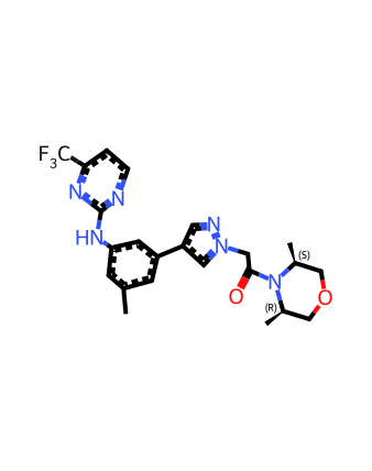 Cc1cc(Nc2nccc(C(F)(F)F)n2)cc(-c2cnn(CC(=O)N3[C@H](C)COC[C@@H]3C)c2)c1